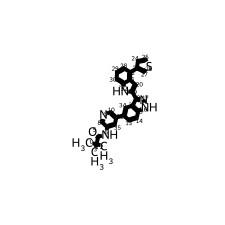 CC(C)(C)C(=O)Nc1cncc(-c2ccc3[nH]nc(-c4cc5c(-c6ccsc6)cccc5[nH]4)c3c2)c1